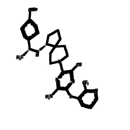 COc1ccc([C@@H](C)N[C@@H]2CCCC23CCN(c2nc(N)c(Sc4cccnc4C(F)(F)F)nc2C#N)CC3)cc1